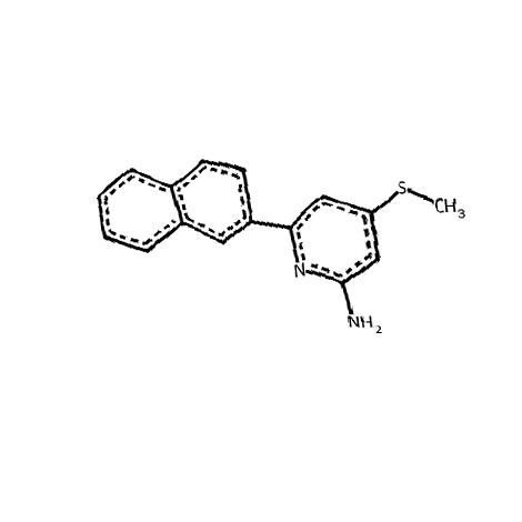 CSc1cc(N)nc(-c2ccc3ccccc3c2)c1